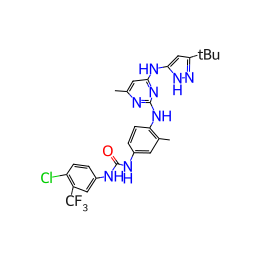 Cc1cc(Nc2cc(C(C)(C)C)n[nH]2)nc(Nc2ccc(NC(=O)Nc3ccc(Cl)c(C(F)(F)F)c3)cc2C)n1